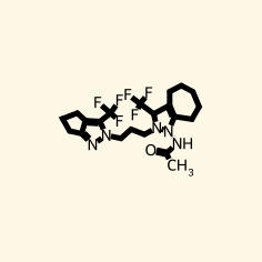 CC(=O)NN1C2=C(CCCCC2)C(C(F)(F)F)N1CCCn1nc2c(c1C(F)(F)F)CCC2